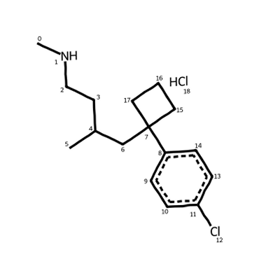 CNCCC(C)CC1(c2ccc(Cl)cc2)CCC1.Cl